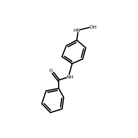 O=C(Nc1ccc(NO)cc1)c1ccccc1